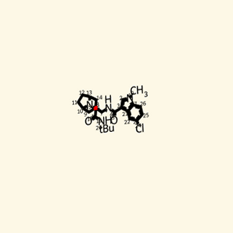 Cn1cc(C(=O)NCC2CC3CCC(C2)N3CC(=O)NC(C)(C)C)c2cc(Cl)ccc21